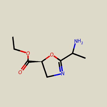 CCOC(=O)[C@@H]1CN=C(C(C)N)O1